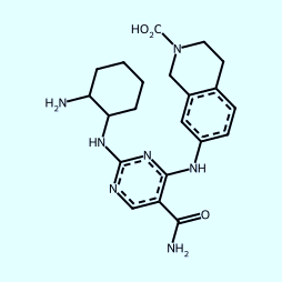 NC(=O)c1cnc(NC2CCCCC2N)nc1Nc1ccc2c(c1)CN(C(=O)O)CC2